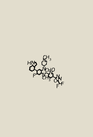 CN1CCC(N(C=O)c2cc(-c3cccc4[nH]ccc34)c(F)cc2N(C)Cc2ccc(-c3nnc(C(F)F)o3)cn2)CC1